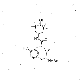 CC(=O)N[C@H](Cc1ccc(O)cc1)[C@@H]1C[C@H]1[C@H](C)C(=O)NC1CC(C)(C)N(O)C(C)(C)C1